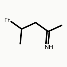 [CH2]CC(C)CC(C)=N